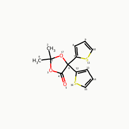 CC1(C)OC(=O)C(c2cccs2)(c2cccs2)O1